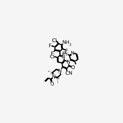 C=CC(=O)N1[C@H](C)CN(c2c(C#N)c(=O)n(-c3c(C)ccnc3C(C)C)c3nc(-c4c(F)c(N)c(Cl)c(F)c4F)c(Cl)cc23)C[C@@H]1C